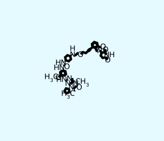 CC[C@@H]1C(=O)N(C)c2cnc(Nc3ccc(NC(=O)N[C@H]4CC[C@H](NCCOCCC#Cc5cccc6c5CN(C5CCC(=O)NC5=O)C6=O)CC4)cc3OC)nc2N1C1CCCC1